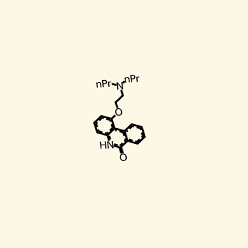 CCCN(CCC)CCOc1cccc2[nH]c(=O)c3ccccc3c12